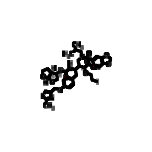 Cc1nc(COc2ccc(CC(NC(=O)O[C@H]3CO[C@H]4OCC[C@H]43)C(CN(CC(C)C)S(=O)(=O)c3ccc4c(c3)OCO4)[C@H](OCCI)C(=O)O)cc2)cs1